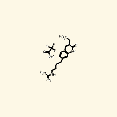 N=C(N)NCCCCc1ccc2c(c1)NC(=O)C(CC(=O)O)C2.O=C(O)C(F)(F)F